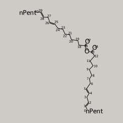 CCCCCC=CCC=CCCCCCCCC(=O)OC(=O)CCCCCCCC=CCC=CCCCCC